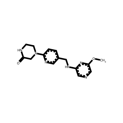 COc1cncc(NCc2ccc(N3CCNC(=O)C3)nc2)n1